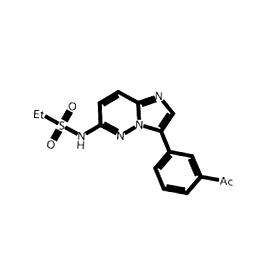 CCS(=O)(=O)Nc1ccc2ncc(-c3cccc(C(C)=O)c3)n2n1